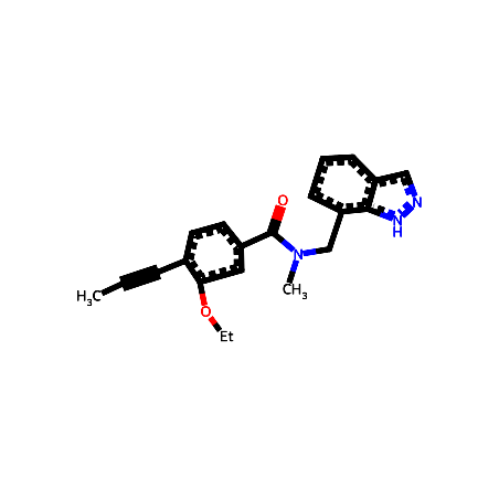 CC#Cc1ccc(C(=O)N(C)Cc2cccc3cn[nH]c23)cc1OCC